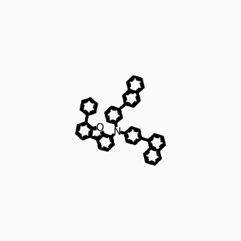 c1ccc(-c2cccc3c2oc2c(N(c4ccc(-c5cccc6ccccc56)cc4)c4cccc(-c5ccc6ccccc6c5)c4)cccc23)cc1